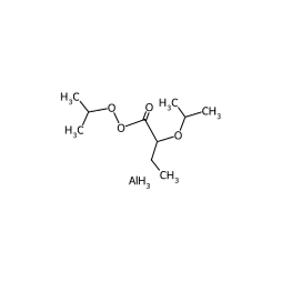 CCC(OC(C)C)C(=O)OOC(C)C.[AlH3]